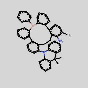 CC1(C)c2ccccc2N(c2cccc3c2CCc2c(ccc(C#N)c2N)-c2ccccc2B(c2ccccc2)c2ccccc2-3)c2ccccc21